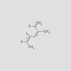 C=C(F)/C(C)=C\C(I)=C(/C)F